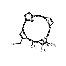 Cc1c(C)c2c(C)c3nc(cc4ccc(cc5nc(cc1n2C)C=C5)[nH]4)C=C3CO